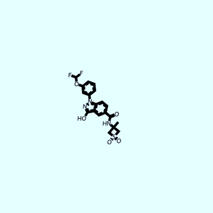 CC1(NC(=O)c2ccc3c(c2)c(O)nn3-c2cccc(OC(F)F)c2)CS(=O)(=O)C1